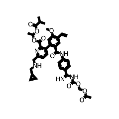 C=Cc1cc(C(=O)Nc2ccc(C(=N)NC(=O)OCOC(C)=O)cc2)c(-c2ccc(CNCC3CC3)nc2C(=O)OC(C)OC(=O)C(C)C)cc1OC